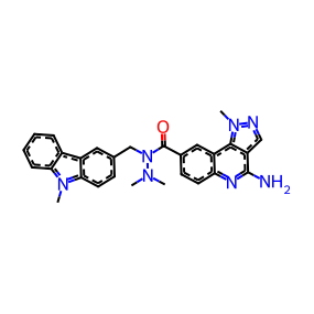 CN(C)N(Cc1ccc2c(c1)c1ccccc1n2C)C(=O)c1ccc2nc(N)c3cnn(C)c3c2c1